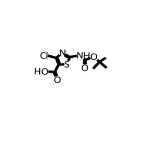 CC(C)(C)OC(=O)Nc1nc(Cl)c(C(=O)O)s1